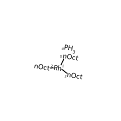 CCCCCCC[CH2][Rh]([CH2]CCCCCCC)[CH2]CCCCCCC.P